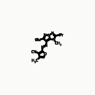 [C-]#[N+]c1c(C)coc1/N=N/c1c(C(C)(C)C)nn2nc(C(C)C)n(C)c12